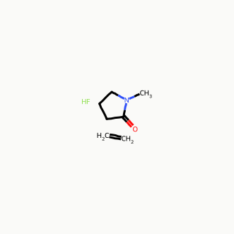 C=C.CN1CCCC1=O.F